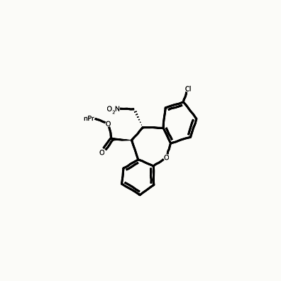 CCCOC(=O)[C@@H]1c2ccccc2Oc2ccc(Cl)cc2[C@H]1C[N+](=O)[O-]